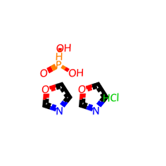 Cl.O=[PH](O)O.c1cocn1.c1cocn1